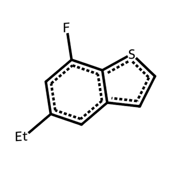 CCc1cc(F)c2sccc2c1